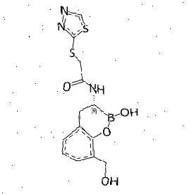 O=C(CSc1nncs1)N[C@H]1Cc2cccc(CO)c2OB1O